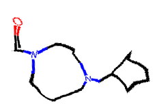 O=[C]N1CCCN(C2CCC2)CC1